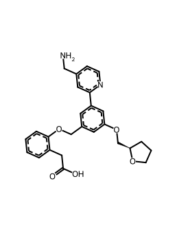 NCc1ccnc(-c2cc(COc3ccccc3CC(=O)O)cc(OC[C@H]3CCCO3)c2)c1